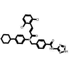 O=C(Nc1nn[nH]n1)c1ccc(CN(C(=O)C=Cc2c(Cl)cccc2Cl)c2ccc(C3CCCCC3)cc2)cc1